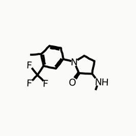 CNC1CCN(c2ccc(C)c(C(F)(F)F)c2)C1=O